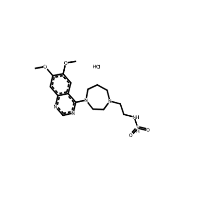 COc1cc2ncnc(N3CCCN(CCN[SH](=O)=O)CC3)c2cc1OC.Cl